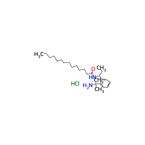 CCCCCCCCCCCCCC(=O)NC(CC)c1ccccc1C(C)(C)N.Cl